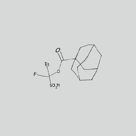 CCC(F)(OC(=O)C12CC3CC(CC(C3)C1)C2)S(=O)(=O)O